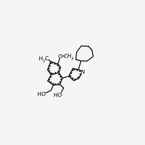 COc1cc2c(-c3ccnc(C4CCCCCCC4)c3)c(CO)c(CO)cc2cc1C